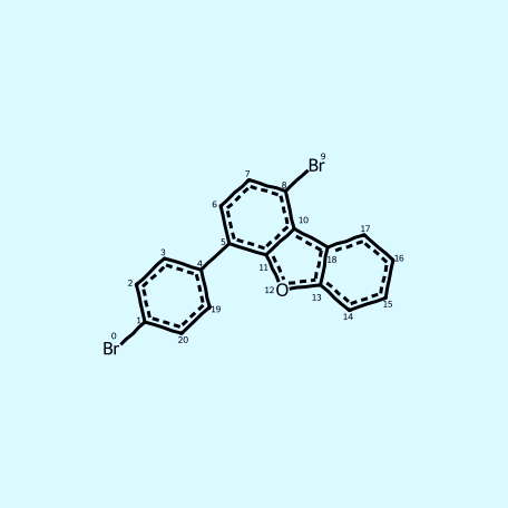 Brc1ccc(-c2ccc(Br)c3c2oc2ccccc23)cc1